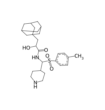 Cc1ccc(S(=O)(=O)C(NC(=O)C(O)CC23CC4CC(CC(C4)C2)C3)C2CCNCC2)cc1